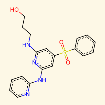 O=S(=O)(c1ccccc1)c1cc(NCCCO)nc(Nc2ccccn2)c1